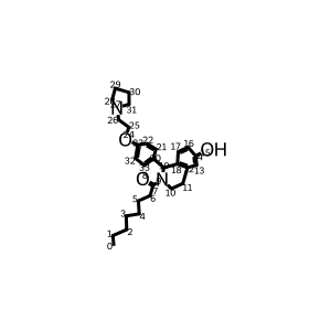 CCCCCCCC(=O)N1CCc2cc(O)ccc2C1c1ccc(OCCN2CCCC2)cc1